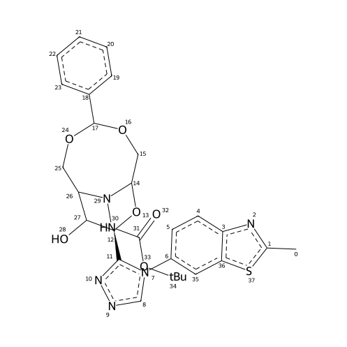 Cc1nc2ccc(-n3cnnc3[C@@H]3OC4COC(c5ccccc5)OCC(C3O)N4NC(=O)OC(C)(C)C)cc2s1